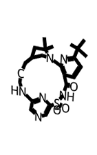 CC(C)(C)c1ccc2c(n1)N1CC(CCCNc3cncc(n3)S(=O)(=O)NC2=O)CC1(C)C